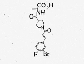 CC(NC(=O)C1CCN(C(=O)/C=C/c2ccc(F)c(Br)c2)CC1)C(=O)O